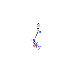 CC1(C)CC(C)(C)C1NC(=O)c1ccc(NCCCCCCCCNc2ccc3c(c2)C(=O)N(C2CCC(=O)NC2=O)C3=O)cc1